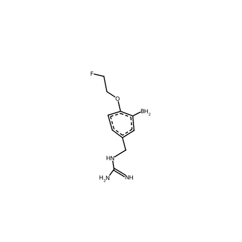 Bc1cc(CNC(=N)N)ccc1OCCF